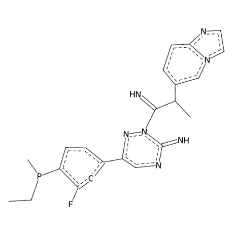 CCP(C)c1ccc(-c2cnc(=N)n(C(=N)C(C)c3ccc4nccn4c3)n2)cc1F